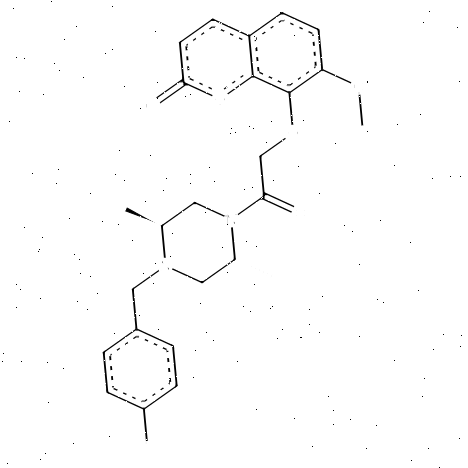 COc1ccc2ccc(=O)oc2c1OCC(=O)N1C[C@H](C)N(Cc2ccc(F)cc2)C[C@H]1C